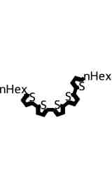 CCCCCCc1ccc(-c2ccc(-c3ccc(-c4ccc(-c5ccc(CCCCCC)s5)s4)s3)s2)s1